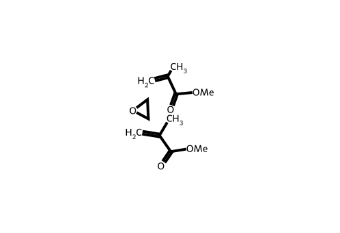 C1CO1.C=C(C)C(=O)OC.C=C(C)C(=O)OC